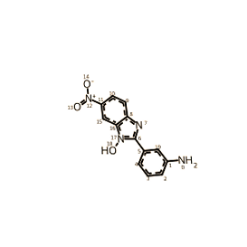 Nc1cccc(-c2nc3ccc([N+](=O)[O-])cc3n2O)c1